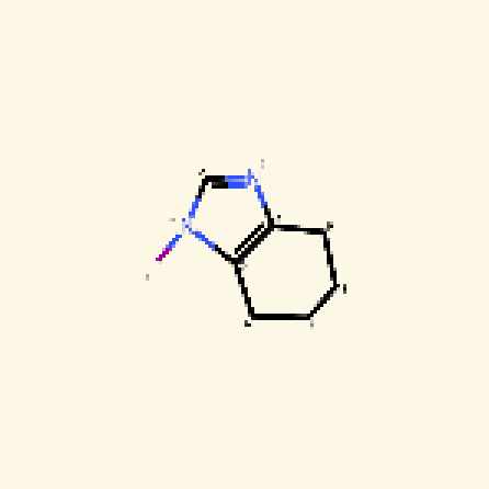 In1cnc2c1CCCC2